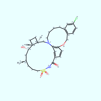 C[C@@H]1CCCS(=O)(=O)NC(=O)c2ccc3c(c2)N(CCCCc2cc(Cl)ccc2CO3)C[C@@H]2CC[C@H]2[C@@H](O)C1